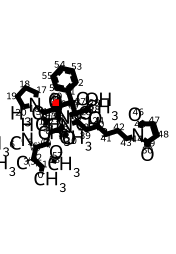 CC[C@H](C)[C@H](NC)[C@@H](CC(=O)N(C(=O)[C@H](C)N1CCCC1)[C@@](C)(C(=O)O)[C@@](OC)(C(=O)[C@H](C(C)C)N(C)C(=O)CCCCCN1C(=O)C=CC1=O)c1ccccc1)OC